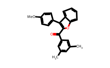 COc1ccc(-c2c(C(=O)c3cc(C)cc(C)c3)oc3ccccc23)cc1